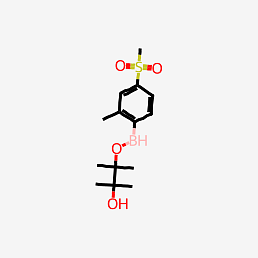 Cc1cc(S(C)(=O)=O)ccc1BOC(C)(C)C(C)(C)O